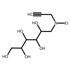 C#CCN(CC)CC(O)C(O)C(O)C(O)CO